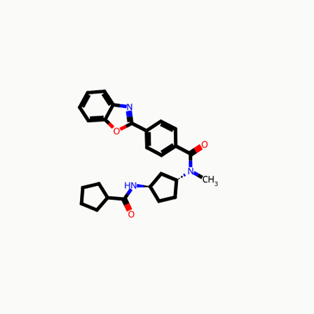 CN(C(=O)c1ccc(-c2nc3ccccc3o2)cc1)[C@@H]1CC[C@@H](NC(=O)C2CCCC2)C1